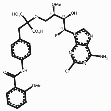 COc1ccccc1C(=O)Nc1ccc(CC(OC[C@@H](OC)[C@@H](O)[C@H](F)n2cnc3c(N)nc(Cl)nc32)(C(=O)O)C(=O)O)cc1